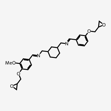 COc1cc(/C=N/CC2CCCC(C/N=C/c3cccc(OCC4CO4)c3)C2)ccc1OCC1CO1